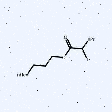 CCCCCCCCCOC(=O)C(I)CCC